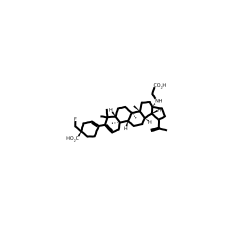 C=C(C)C1CC[C@]2(NCC(=O)O)CC[C@]3(C)[C@H](CC[C@@H]4[C@@]5(C)CC=C(C6=CC[C@](CF)(C(=O)O)CC6)C(C)(C)[C@@H]5CC[C@]43C)[C@@H]12